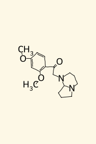 COc1ccc(C(=O)CN2CCCN3CCCC32)c(OC)c1